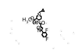 COC(=O)C1CN(CC2CC2)CCC1NC(=O)c1cc(-c2ccc(F)cc2F)no1